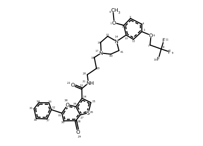 COc1ccc(OCC(F)(F)F)cc1N1CCN(CCCNC(=O)c2csc3c(=O)cc(-c4ccccc4)oc23)CC1